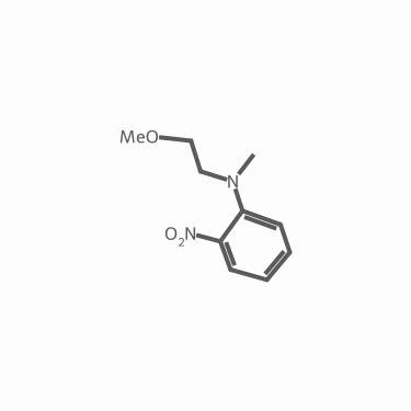 COCCN(C)c1ccccc1[N+](=O)[O-]